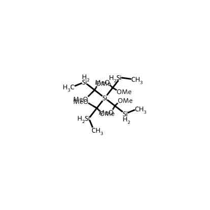 COC(OC)([SiH2]C)[Si](C(OC)(OC)[SiH2]C)(C(OC)(OC)[SiH2]C)C(OC)(OC)[SiH2]C